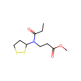 CCC(=O)N(CCC(=O)OC)C1CCSS1